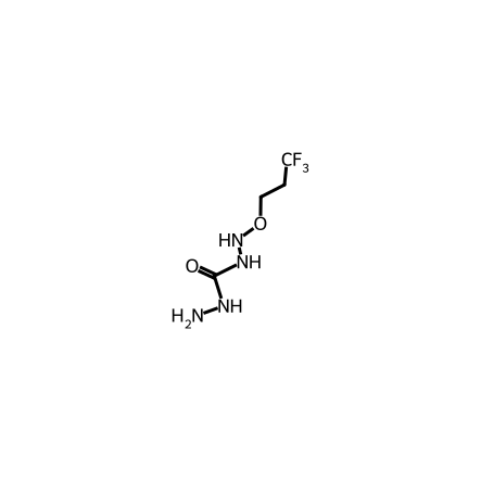 NNC(=O)NNOCCC(F)(F)F